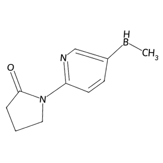 CBc1ccc(N2CCCC2=O)nc1